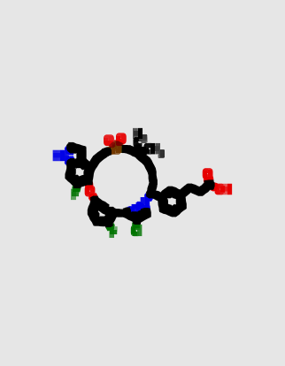 CC1(C)CCCC(c2cccc(CCC(=O)O)c2)n2cc(Cl)c(n2)-c2cc(ccc2F)Oc2c(F)cc3[nH]ccc3c2CCS(=O)(=O)C1